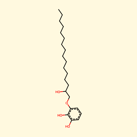 CCCCCCCCCCCCCCC(O)COc1cccc(O)c1O